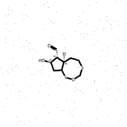 O=C[C@H]1[C@H](O)CC2SOCSCC[C@@H]21